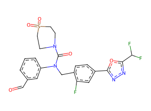 O=Cc1cccc(N(Cc2ccc(-c3nnc(C(F)F)o3)cc2F)C(=O)N2CCS(=O)(=O)CC2)c1